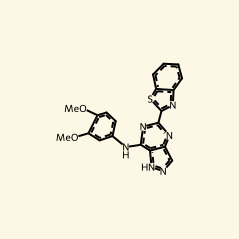 COc1ccc(Nc2nc(-c3nc4ccccc4s3)nc3cn[nH]c23)cc1OC